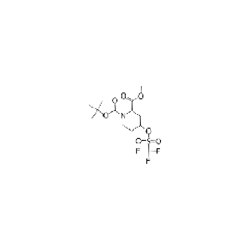 COC(=O)C1C=C(OS(=O)(=O)C(F)(F)F)CCN1C(=O)OC(C)(C)C